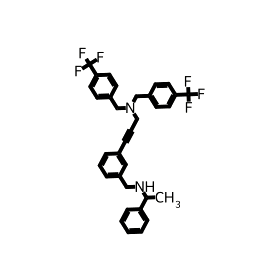 CC(NCc1cccc(C#CCN(Cc2ccc(C(F)(F)F)cc2)Cc2ccc(C(F)(F)F)cc2)c1)c1ccccc1